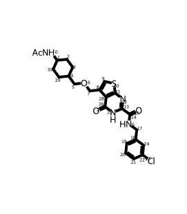 CC(=O)NC1CCC(COCc2csc3nc(C(=O)NCc4cccc(Cl)c4)[nH]c(=O)c23)CC1